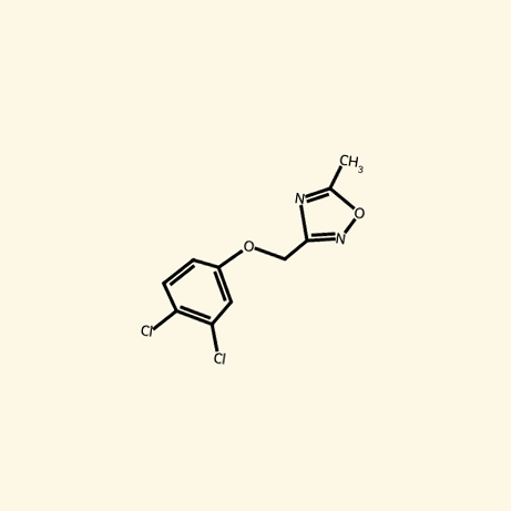 Cc1nc(COc2ccc(Cl)c(Cl)c2)no1